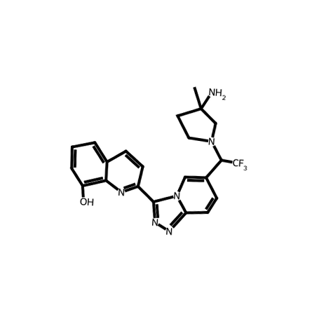 CC1(N)CCN(C(c2ccc3nnc(-c4ccc5cccc(O)c5n4)n3c2)C(F)(F)F)C1